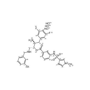 CCc1cccc(CNC[C@@H](OC(=O)c2cccc(NS(=O)(=O)c3cn(C)cn3)c2)[C@@H](N)Cc2cc(F)cc(F)c2)c1.Cl.Cl.Cl